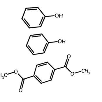 COC(=O)c1ccc(C(=O)OC)cc1.Oc1ccccc1.Oc1ccccc1